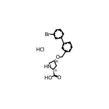 Cl.O=C(O)[C@@H]1C[C@@H](OCc2cccc(-c3cccc(Br)c3)c2)CN1